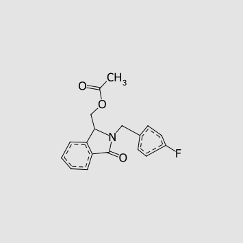 CC(=O)OCC1c2ccccc2C(=O)N1Cc1ccc(F)cc1